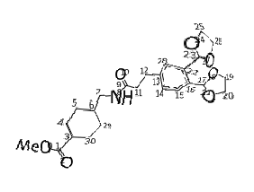 COC(=O)C1CCC(CNC(=O)CCc2ccc(C3OCCO3)c(C3OCCO3)c2)CC1